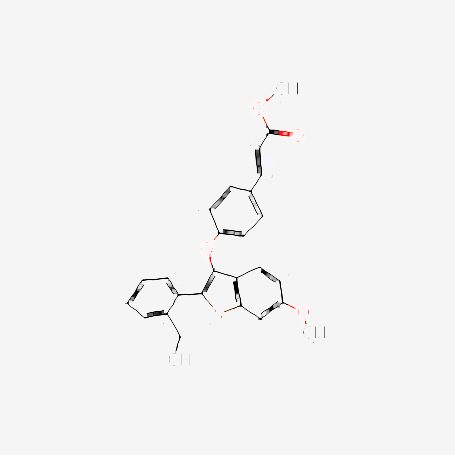 CCc1ccccc1-c1sc2cc(OC)ccc2c1Oc1ccc(/C=C/C(=O)OC)cc1